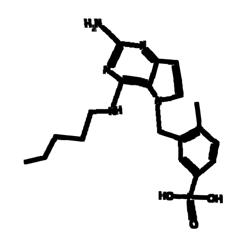 CCCCCNc1nc(N)nc2ccn(Cc3cc(P(=O)(O)O)ccc3C)c12